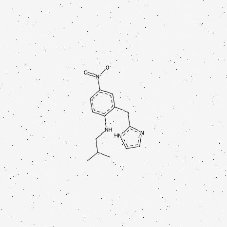 CC(C)CNc1ccc([N+](=O)[O-])cc1Cc1ncc[nH]1